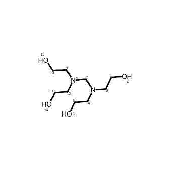 OCCN(CCO)CN(CCO)CCO